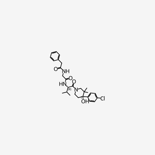 CC(C)[C@@H](NC(=O)CNC(=O)Cc1ccccc1)C(=O)N1CC[C@](O)(c2ccc(Cl)cc2)C(C)(C)C1